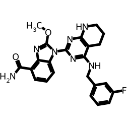 COc1nc2c(C(N)=O)cccc2n1-c1nc2c(c(NCc3cccc(F)c3)n1)CCCN2